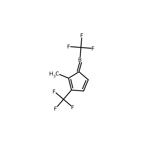 CC1=C(C(F)(F)F)C=CC1=BC(F)(F)F